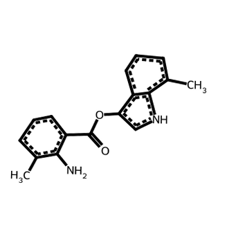 Cc1cccc(C(=O)Oc2c[nH]c3c(C)cccc23)c1N